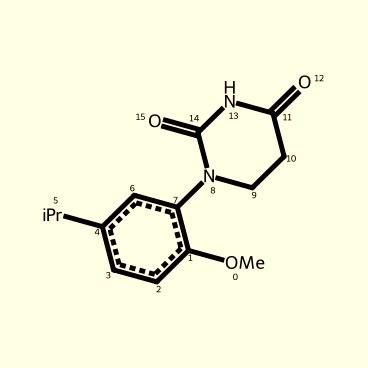 COc1ccc(C(C)C)cc1N1CCC(=O)NC1=O